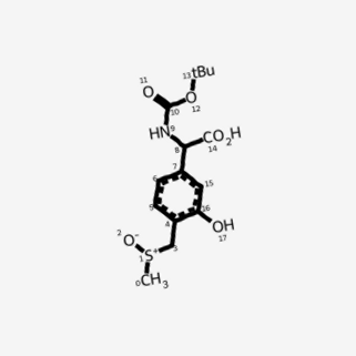 C[S+]([O-])Cc1ccc(C(NC(=O)OC(C)(C)C)C(=O)O)cc1O